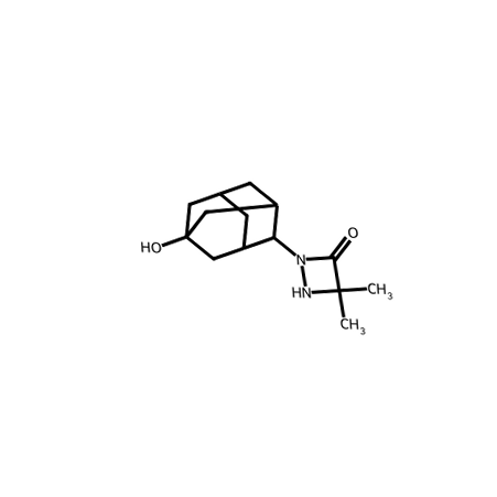 CC1(C)NN(C2C3CC4CC2CC(O)(C4)C3)C1=O